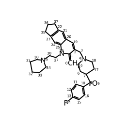 C=C1C(CN2CCC(C(=O)c3ccc(F)cc3)CC2)=Cc2cc3c(cc2N1CCN1CCCCC1)CCC3